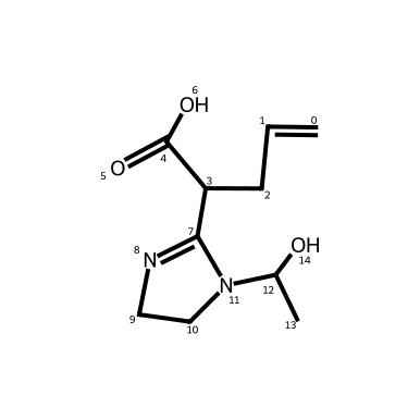 C=CCC(C(=O)O)C1=NCCN1C(C)O